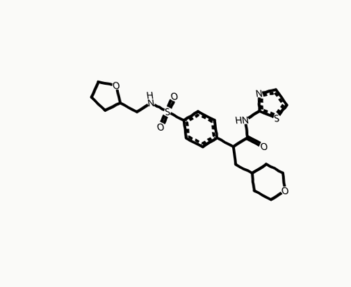 O=C(Nc1nccs1)C(CC1CCOCC1)c1ccc(S(=O)(=O)NCC2CCCO2)cc1